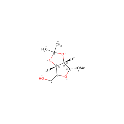 CO[C@@H]1OC(CO)[C@@H]2OC(C)(C)O[C@H]12